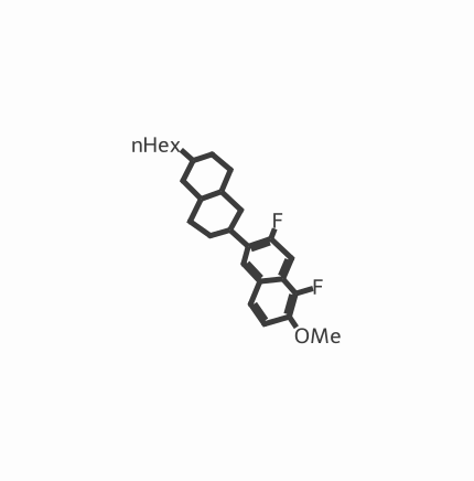 CCCCCCC1CCC2CC(c3cc4ccc(OC)c(F)c4cc3F)CCC2C1